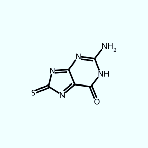 Nc1nc2c(c(=O)[nH]1)=NC(=S)N=2